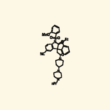 CCCN1CCN(C2CCN(C(=O)CC3(c4ccccc4OCC)C(=O)N(S(=O)(=O)c4ccccc4OC)c4ccc(C#N)cc43)CC2)CC1